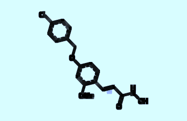 COc1cc(OCc2ccc(Cl)cc2)ccc1/C=C/C(=O)NO